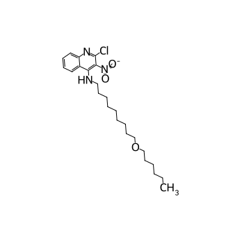 CCCCCCOCCCCCCCCCNc1c([N+](=O)[O-])c(Cl)nc2ccccc12